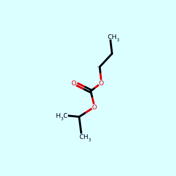 CC[CH]OC(=O)OC(C)C